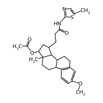 COc1ccc2c(c1)CCC1C2CCC2(C)C(OC(C)=O)CC(CCC(=O)Nc3ncc(C)s3)C12